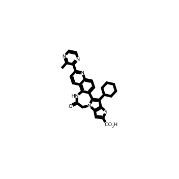 Cc1nccnc1-c1ccc2c3c(ccc2n1)-c1c(C2CCCCC2)c2sc(C(=O)O)cc2n1CC(=O)N3